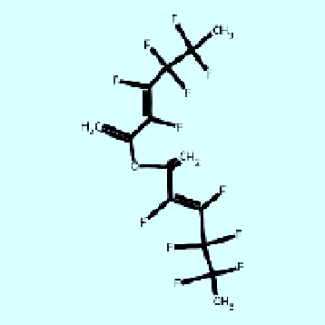 C=C(OC(=C)C(F)=C(F)C(F)(F)C(C)(F)F)C(F)=C(F)C(F)(F)C(C)(F)F